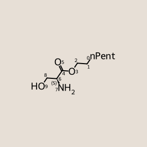 CCCCCCCOC(=O)[C@@H](N)CO